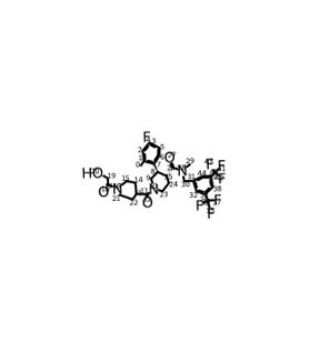 Cc1cc(F)ccc1[C@@H]1CN(C(=O)C2CCN(C(=O)CO)CC2)CC[C@H]1C(=O)N(C)Cc1cc(C(F)(F)F)cc(C(F)(F)F)c1